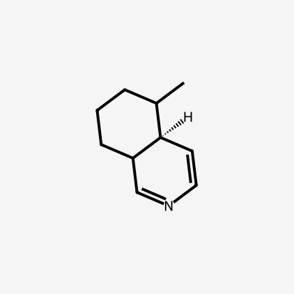 CC1CCCC2C=NC=C[C@H]12